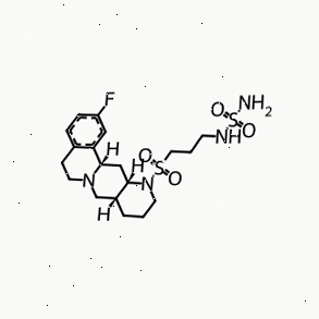 NS(=O)(=O)NCCCS(=O)(=O)N1CCC[C@@H]2CN3CCc4ccc(F)cc4[C@@H]3C[C@@H]21